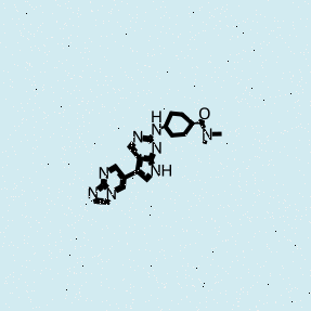 CN(C)C(=O)[C@H]1CC[C@@H](Nc2ncc3c(-c4cnc5nccn5c4)c[nH]c3n2)CC1